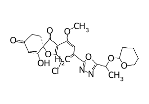 C=C(/C=C(/OC)C1=C(CCl)O[C@]2(CCC(=O)C=C2O)C1=O)c1nnc(C(C)OC2CCCCO2)o1